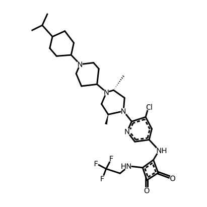 CC(C)C1CCC(N2CCC(N3C[C@H](C)N(c4ncc(Nc5c(NCC(F)(F)F)c(=O)c5=O)cc4Cl)C[C@H]3C)CC2)CC1